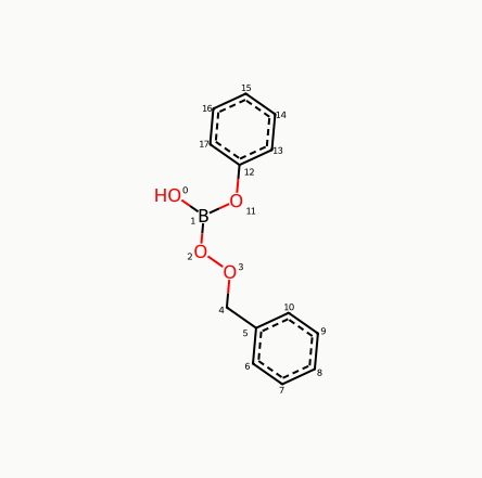 OB(OOCc1ccccc1)Oc1ccccc1